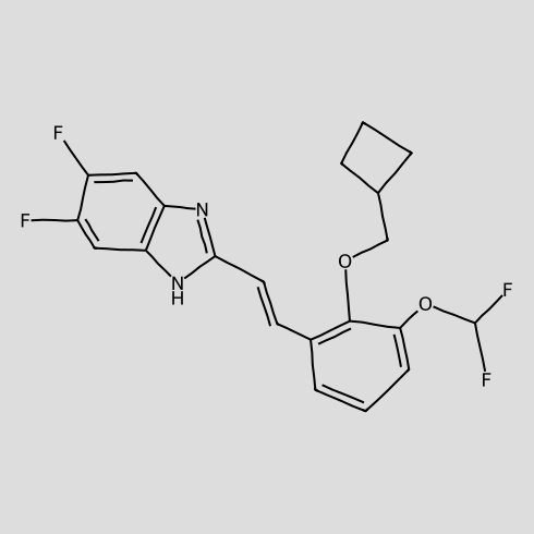 Fc1cc2nc(/C=C/c3cccc(OC(F)F)c3OCC3CCC3)[nH]c2cc1F